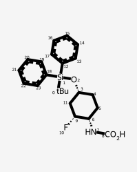 CC(C)(C)[Si](O[C@@H]1CC[C@H](NC(=O)O)[C@H](F)C1)(c1ccccc1)c1ccccc1